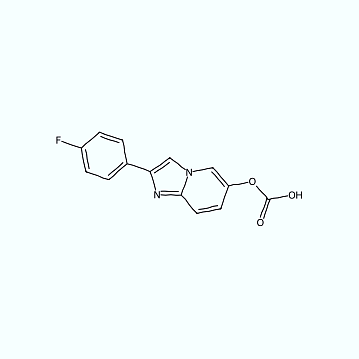 O=C(O)Oc1ccc2nc(-c3ccc(F)cc3)cn2c1